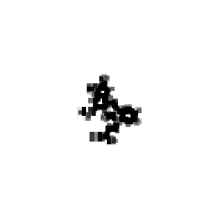 Bc1cc(Cn2c(=O)n(CCC(=O)O)c3ccccc32)c2c(c1)NC(=O)C2